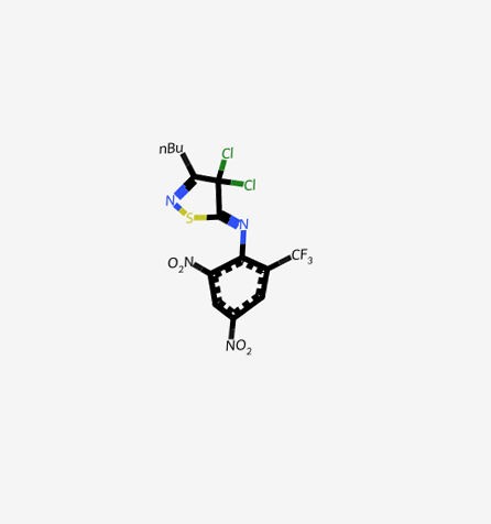 CCCCC1=NS/C(=N\c2c([N+](=O)[O-])cc([N+](=O)[O-])cc2C(F)(F)F)C1(Cl)Cl